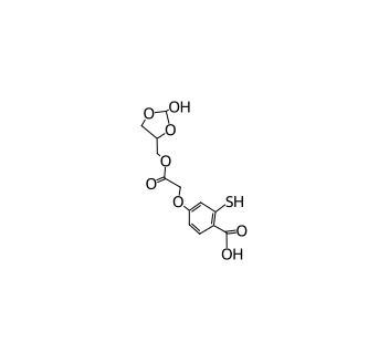 O=C(COc1ccc(C(=O)O)c(S)c1)OCC1COC(O)O1